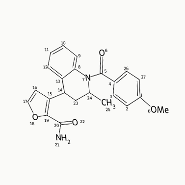 COc1ccc(C(=O)N2c3ccccc3C(c3ccoc3C(N)=O)CC2C)cc1